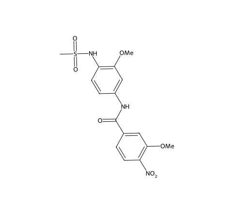 COc1cc(NC(=O)c2ccc([N+](=O)[O-])c(OC)c2)ccc1NS(C)(=O)=O